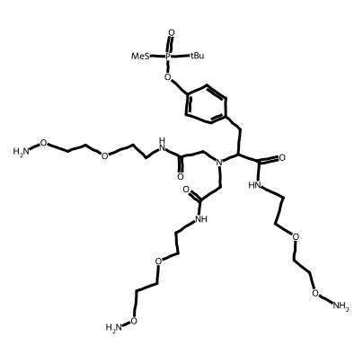 CSP(=O)(Oc1ccc(CC(C(=O)NCCOCCON)N(CC(=O)NCCOCCON)CC(=O)NCCOCCON)cc1)C(C)(C)C